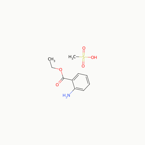 CCOC(=O)c1ccccc1N.CS(=O)(=O)O